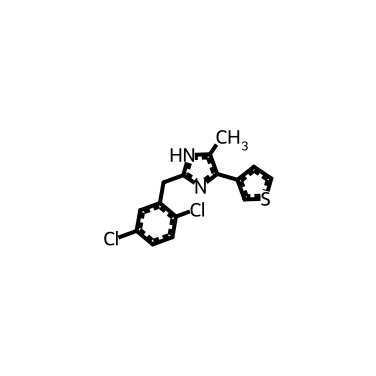 Cc1[nH]c(Cc2cc(Cl)ccc2Cl)nc1-c1ccsc1